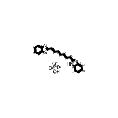 C(=CC=Cc1nc2ccccc2s1)C=CC=C1Nc2ccccc2S1.[O-][Cl+3]([O-])([O-])O